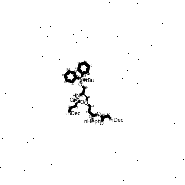 CCCCCCCCCCCCS(=O)(=O)N[C@H](COCC[C@@H](CCCCCCC)OC(=O)CCCCCCCCCCC)CO[Si](c1ccccc1)(c1ccccc1)C(C)(C)C